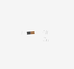 [AlH3].[S]=[Er].[Zn]